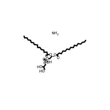 CCCCCCCCCCCCCCCC(=O)OC[C@H](COP(=O)(O)OCC(O)CO)OC(=O)CCCCCCCCCCCCCCC.N